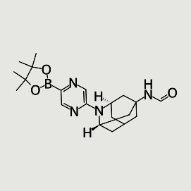 CC1(C)OB(c2cnc(N3[C@@H]4CC5C[C@H]3CC(NC=O)(C5)C4)cn2)OC1(C)C